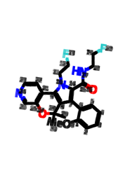 COc1ccccc1-c1c2c(n(CCF)c1C(=O)NCCF)-c1ccncc1OC2(C)C